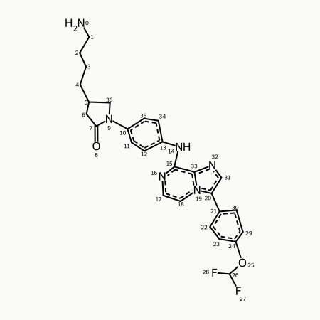 NCCCCC1CC(=O)N(c2ccc(Nc3nccn4c(-c5ccc(OC(F)F)cc5)cnc34)cc2)C1